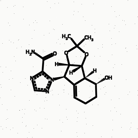 CC1(C)O[C@@H]2[C@H](O1)[C@@H]1C(=CCC[C@H]1O)[C@H]2n1ncnc1C(N)=O